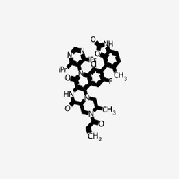 C=CC(=O)N1CC2C(=O)Nc3c(c4cc(F)c(-c5c(C)ccc6[nH]c(=O)oc56)c(Cl)c4n(-c4c(C(C)C)ncnc4C(C)C)c3=O)N2CC1C